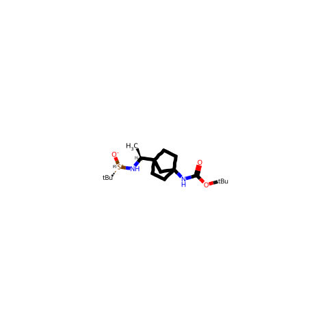 C[C@H](N[S@@+]([O-])C(C)(C)C)C12CCC(NC(=O)OC(C)(C)C)(CC1)C2